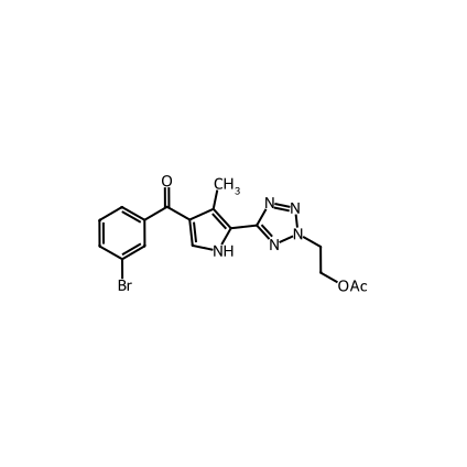 CC(=O)OCCn1nnc(-c2[nH]cc(C(=O)c3cccc(Br)c3)c2C)n1